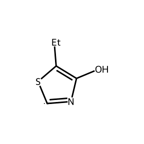 CCc1s[c]nc1O